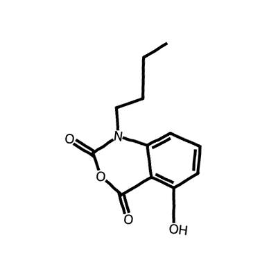 CCCCn1c(=O)oc(=O)c2c(O)cccc21